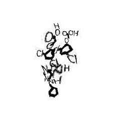 O=C(O)COc1ccc(Cl)cc1Cl.O=C(O)COc1ccc(Cl)cc1Cl.c1ccc(CNc2ncnc3nc[nH]c23)cc1